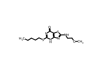 CCCCCSc1nc(=O)c2sc(NCCOC)nc2[nH]1